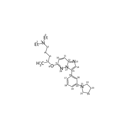 CCN(CC)CCCC(C)Oc1ccc2ncc(-c3cccc(N4CCCC4)c3)n2n1